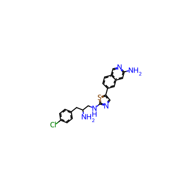 Nc1cc2cc(-c3cnc(NCC(N)Cc4ccc(Cl)cc4)s3)ccc2cn1